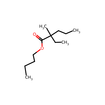 CCCCOC(=O)C(C)(CC)CCC